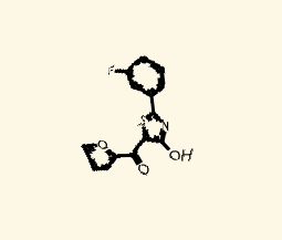 O=C(c1ccco1)c1sc(-c2cccc(F)c2)nc1O